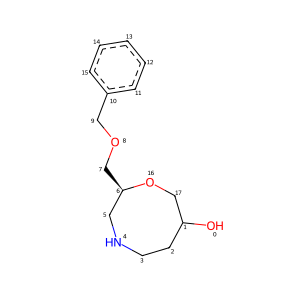 OC1CCNC[C@@H](COCc2ccccc2)OC1